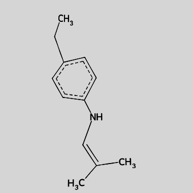 CCc1ccc(NC=C(C)C)cc1